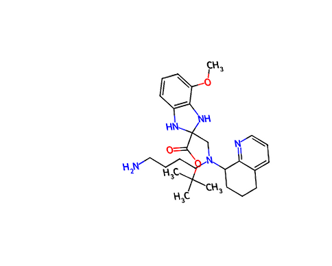 COc1cccc2c1NC(CN(CCCCN)C1CCCc3cccnc31)(C(=O)OC(C)(C)C)N2